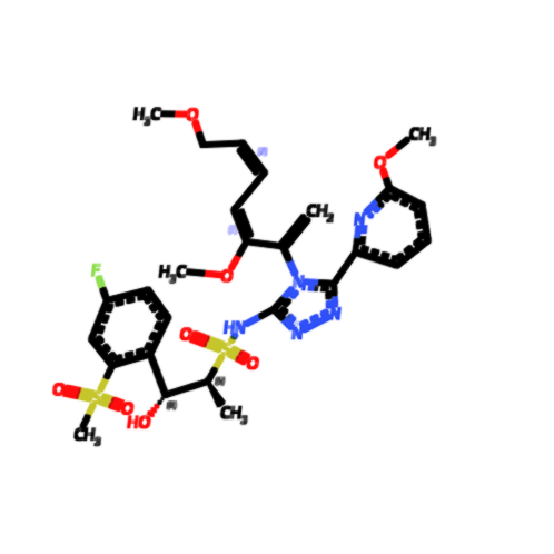 C=C(/C(=C\C=C/COC)OC)n1c(NS(=O)(=O)[C@@H](C)[C@H](O)c2ccc(F)cc2S(C)(=O)=O)nnc1-c1cccc(OC)n1